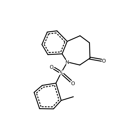 Cc1ccccc1S(=O)(=O)N1CC(=O)CCc2ccccc21